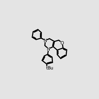 CC(C)(C)c1ccc(N2CN(c3ccccc3)CC3=C2c2ccccc2OC3)cc1